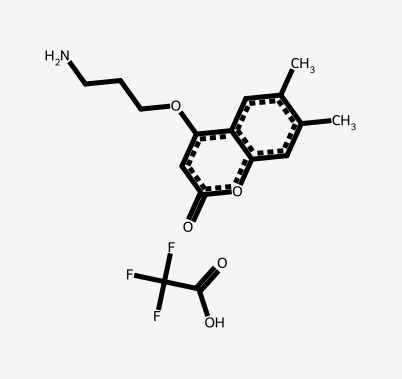 Cc1cc2oc(=O)cc(OCCCN)c2cc1C.O=C(O)C(F)(F)F